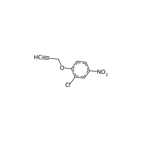 C#CCOc1ccc([N+](=O)[O-])cc1Cl